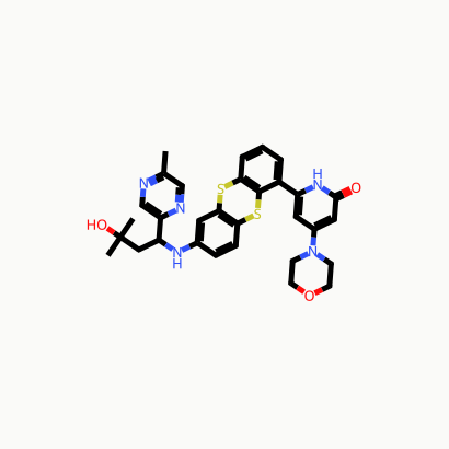 Cc1cnc(C(CC(C)(C)O)Nc2ccc3c(c2)Sc2cccc(-c4cc(N5CCOCC5)cc(=O)[nH]4)c2S3)cn1